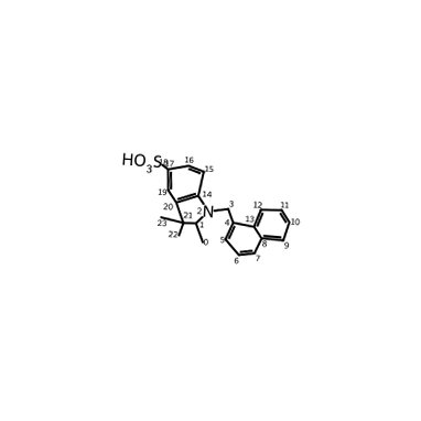 CC1N(Cc2cccc3ccccc23)c2ccc(S(=O)(=O)O)cc2C1(C)C